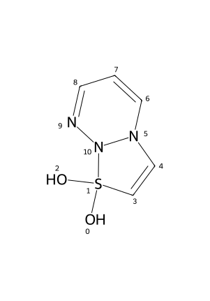 OS1(O)C=CN2C=CC=NN21